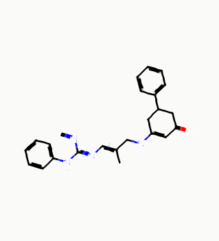 C=N/C(=N\C=C(/C)CNC1=CC(=O)CC(c2ccccc2)C1)Nc1ccccc1